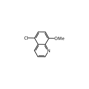 COc1ccc(Cl)c2cccnc12